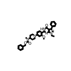 CCn1nc(-c2ccccc2)c2c(=O)[nH]c(-c3ccc(N4CCC(N(C)C(=O)OCc5ccccc5)CC4)cc3OC)nc21